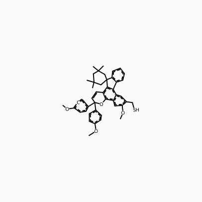 COc1ccc(C2(c3ccc(OC)cc3)C=Cc3c4c(c5cc(CS)c(OC)cc5c3O2)-c2ccccc2C42CC(C)(C)CC(C)(C)C2)cc1